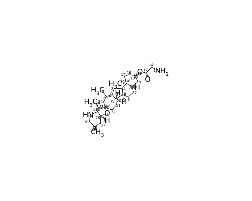 CC1=C2CC3[C@@H](CC[C@@H]4C[C@H](OC(=O)CN)CC[C@]34C)[C@@H]2CC[C@@]2(C1)O[C@@H]1C[C@H](C)CNC1[C@H]2C